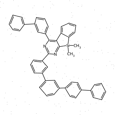 C[Si]1(C)c2ccccc2-c2c(-c3cccc(-c4ccccc4)c3)nc(-c3cccc(-c4cccc(-c5ccc(-c6ccccc6)cc5)c4)c3)nc21